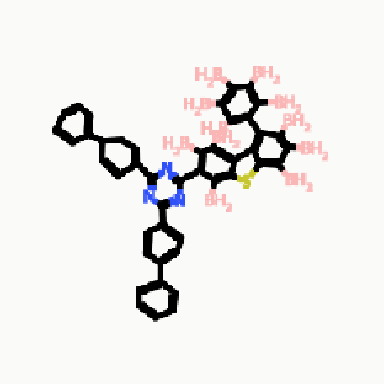 Bc1c(B)c(B)c(-c2c(B)c(B)c(B)c3sc4c(B)c(-c5nc(C6=CCC(c7ccccc7)C=C6)nc(-c6ccc(-c7ccccc7)cc6)n5)c(B)c(B)c4c23)c(B)c1B